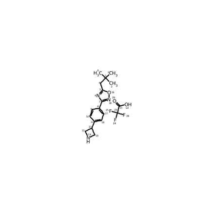 CC(C)(C)Cc1nc(-c2ccc(C3CNC3)cc2)no1.O=C(O)C(F)(F)F